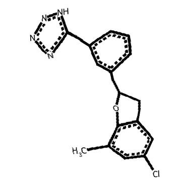 Cc1cc(Cl)cc2c1OC(c1cccc(-c3nnn[nH]3)c1)C2